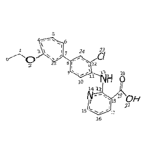 CCOc1cccc(-c2ccc(Nc3ncccc3C(=O)O)c(Cl)c2)c1